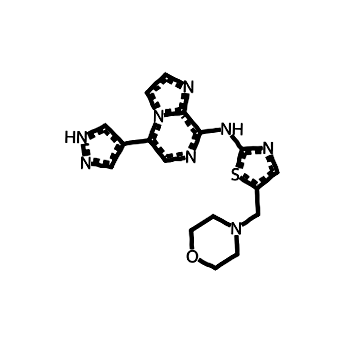 c1cn2c(-c3cn[nH]c3)cnc(Nc3ncc(CN4CCOCC4)s3)c2n1